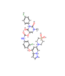 CCn1cc(OC(=O)Nc2ccc(Oc3cc(N4CCS(=O)(=O)CC4)cn4nccc34)c(F)c2)c(=O)n(-c2ccc(F)cc2)c1=O